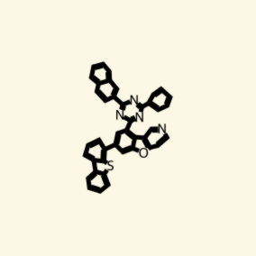 c1ccc(-c2nc(-c3ccc4ccccc4c3)nc(-c3cc(-c4cccc5c4sc4ccccc45)cc4oc5ccncc5c34)n2)cc1